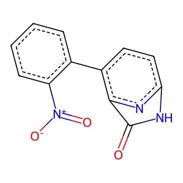 O=C1Nc2ccc(-c3ccccc3[N+](=O)[O-])c1n2